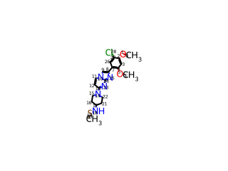 COc1cc(OC)c(-c2cn3ccc(N4CCC(NSC)CC4)nc3n2)cc1Cl